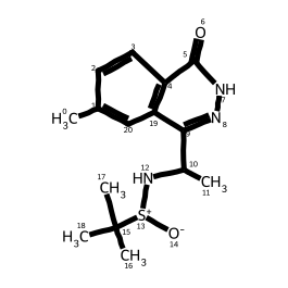 Cc1ccc2c(=O)[nH]nc(C(C)N[S+]([O-])C(C)(C)C)c2c1